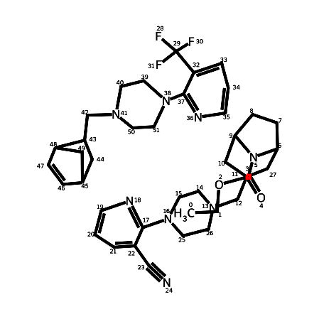 CCOC(=O)N1C2CCC1CC(CN1CCN(c3ncccc3C#N)CC1)C2.FC(F)(F)c1cccnc1N1CCN(CC2CC3C=CC2C3)CC1